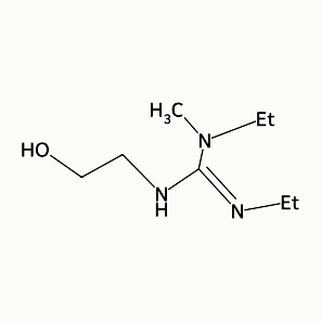 CC/N=C(/NCCO)N(C)CC